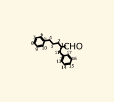 O=CC(CCCc1ccccc1)Cc1ccccc1